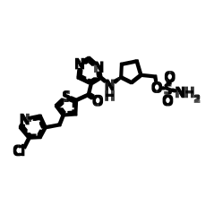 NS(=O)(=O)OCC1CC[C@H](Nc2ncncc2C(=O)c2cc(Cc3cncc(Cl)c3)cs2)C1